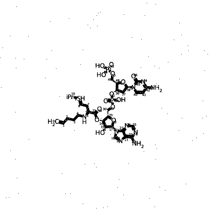 C=CCCCNC(CC=[SH]C(C)C)C(=O)O[C@H]1[C@@H](O)[C@H](n2cnc3c(N)ncnc32)O[C@H]1COP(=O)(O)O[C@H]1C[C@H](n2ccc(N)nc2=O)O[C@@H]1COP(=O)(O)O